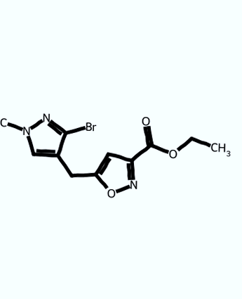 CCOC(=O)c1cc(Cc2cn(C)nc2Br)on1